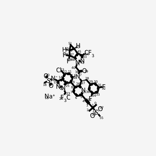 CC(C)(C#Cc1ccc(-c2ccc(Cl)c3c([N-]S(C)(=O)=O)nn(CC(F)(F)F)c23)c([C@H](Cc2cc(F)cc(F)c2)NC(=O)Cn2nc(C(F)(F)F)c3c2C(F)(F)[C@@H]2C[C@H]32)n1)S(C)(=O)=O.[Na+]